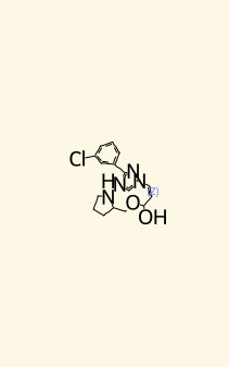 OC(/C=C\n1cnc(-c2cccc(Cl)c2)n1)OCC1CCCN1